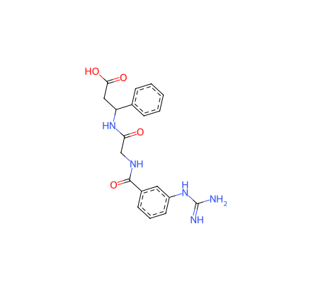 N=C(N)Nc1cccc(C(=O)NCC(=O)NC(CC(=O)O)c2ccccc2)c1